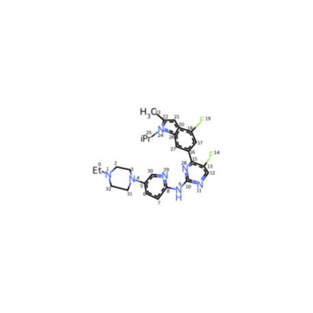 CCN1CCN(c2ccc(Nc3ncc(F)c(-c4cc(F)c5cc(C)n(C(C)C)c5c4)n3)nc2)CC1